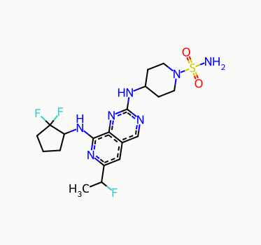 CC(F)c1cc2cnc(NC3CCN(S(N)(=O)=O)CC3)nc2c(NC2CCCC2(F)F)n1